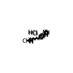 Cl.Cl.Clc1cnn(CCCCN2CCN(c3ncccn3)CC2)c1